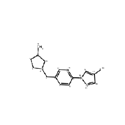 CC1CCN(Cc2ccc(-n3cc(F)cn3)nc2)C1